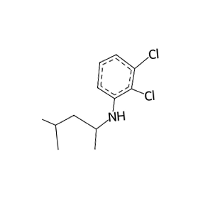 CC(C)CC(C)Nc1cccc(Cl)c1Cl